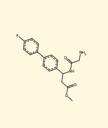 COC(=O)CC(NC(=O)CN)c1ccc(-c2ccc(F)cc2)cc1